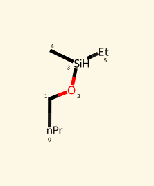 CCCCO[SiH](C)CC